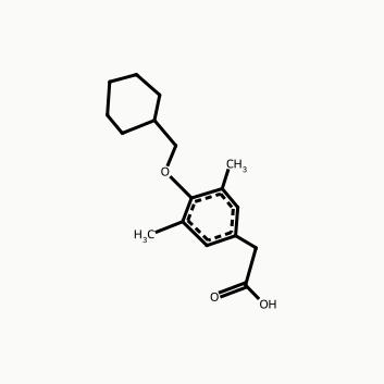 Cc1cc(CC(=O)O)cc(C)c1OCC1CCCCC1